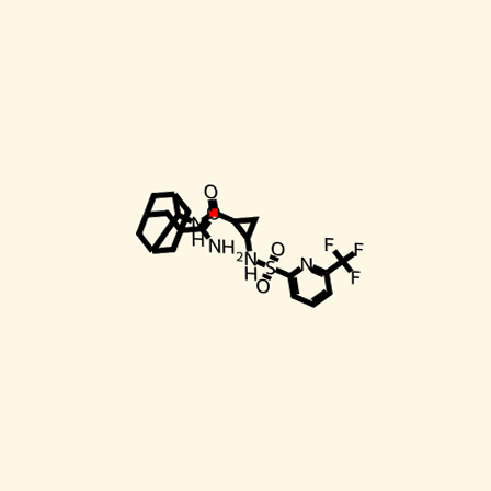 NC(=O)C12CC3CC(C1)C(NC(=O)C1CC1NS(=O)(=O)c1cccc(C(F)(F)F)n1)C(C3)C2